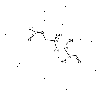 O=C[C@H](O)[C@@H](O)[C@H](O)[C@H](O)CO[N+](=O)[O-]